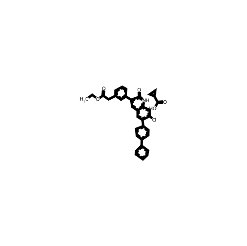 CCOC(=O)Cc1cccc(-c2cc3cc(-c4ccc(-c5ccccc5)cc4)c(Cl)cc3[nH]c2=O)c1.O=C(O)C1CC1